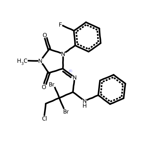 CN1C(=O)/C(=N\C(Nc2ccccc2)C(Br)(Br)CCl)N(c2ccccc2F)C1=O